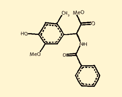 COC(=O)C(NC(=O)c1ccccc1)c1cc(OC)c(O)cc1C